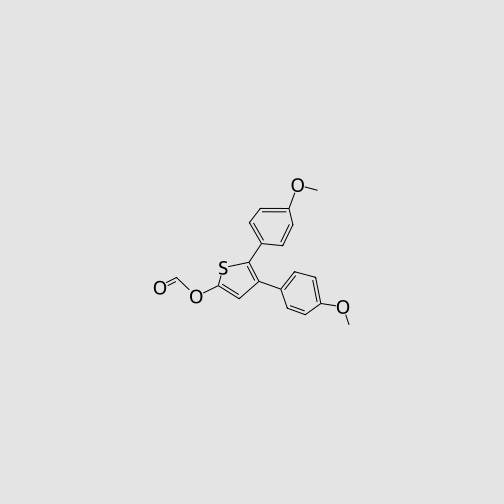 COc1ccc(-c2cc(OC=O)sc2-c2ccc(OC)cc2)cc1